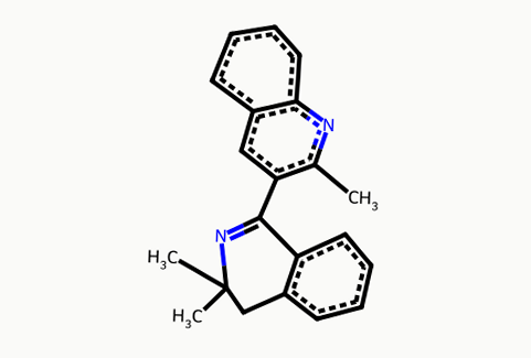 Cc1nc2ccccc2cc1C1=NC(C)(C)Cc2ccccc21